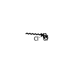 CCCCCCCCCCCC[N+](C)(C)C(CCl)OC(C)=O.[Cl-]